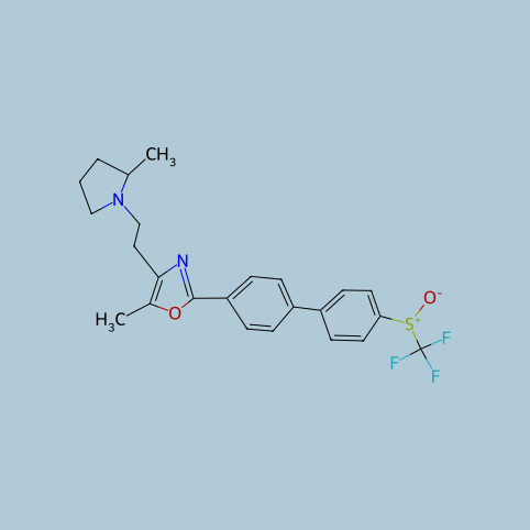 Cc1oc(-c2ccc(-c3ccc([S+]([O-])C(F)(F)F)cc3)cc2)nc1CCN1CCCC1C